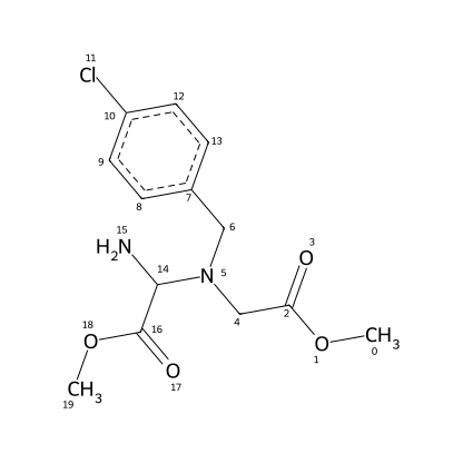 COC(=O)CN(Cc1ccc(Cl)cc1)C(N)C(=O)OC